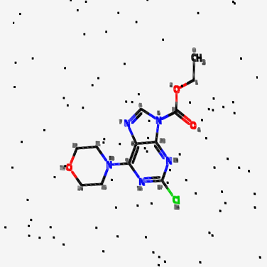 CCOC(=O)n1cnc2c(N3CCOCC3)nc(Cl)nc21